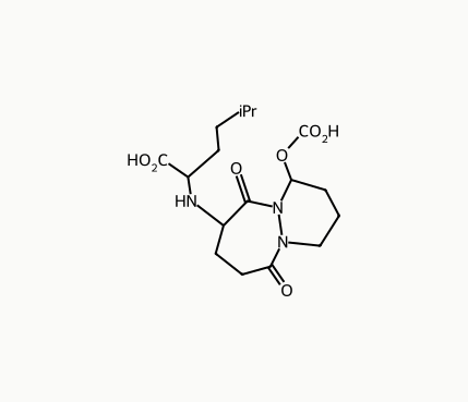 CC(C)CCC(NC1CCC(=O)N2CCCC(OC(=O)O)N2C1=O)C(=O)O